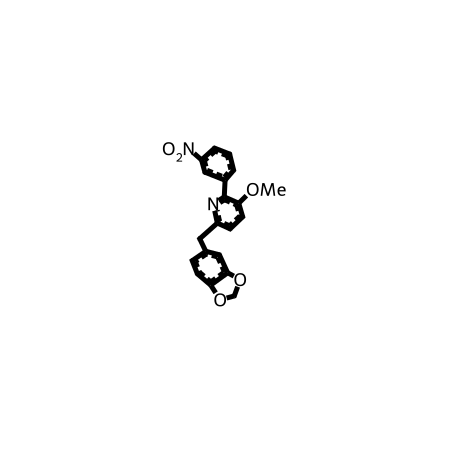 COc1ccc(Cc2ccc3c(c2)OCO3)nc1-c1cccc([N+](=O)[O-])c1